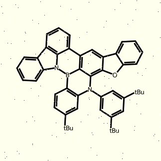 CC(C)(C)c1cc(N2c3cc(C(C)(C)C)ccc3B3c4c(cc5c(oc6ccccc65)c42)-c2cccc4c5ccccc5n3c24)cc(C(C)(C)C)c1